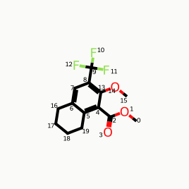 COC(=O)c1c2c(cc(C(F)(F)F)c1OC)CCCC2